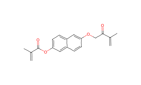 C=C(C)C(=O)COc1ccc2cc(OC(=O)C(=C)C)ccc2c1